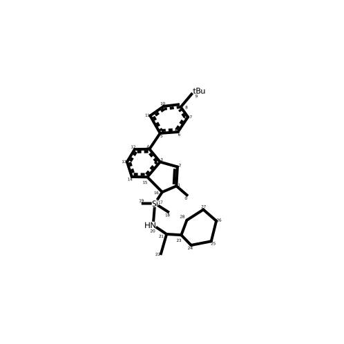 CC1=Cc2c(-c3ccc(C(C)(C)C)cc3)cccc2C1[Si](C)(C)NC(C)C1CCCCC1